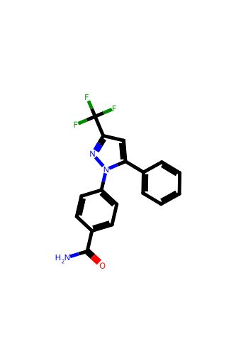 NC(=O)c1ccc(-n2nc(C(F)(F)F)cc2-c2ccccc2)cc1